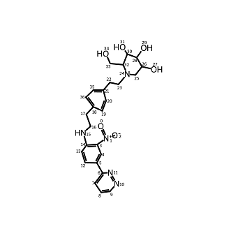 O=[N+]([O-])c1cc(-c2cccnn2)ccc1NCCc1ccc(CCN2CC(O)C(O)C(O)C2CO)cc1